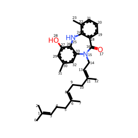 CC(C)=CCC/C(C)=C/CC/C(C)=C/CN1C(=O)c2cccc(C)c2Nc2c(O)cc(C)cc21